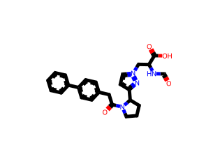 O=CNC(Cn1ccc(C2CCCN2C(=O)Cc2ccc(-c3ccccc3)cc2)n1)C(=O)O